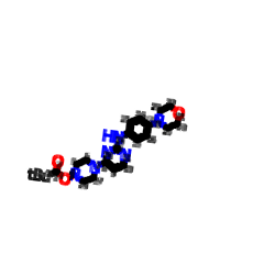 CC(C)(C)C(=O)ON1CCN(c2ccnc(Nc3ccc(N4CCOCC4)cc3)n2)CC1